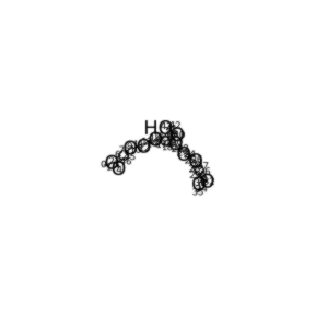 CCOC(=O)c1ccc(OCCOCCOc2ccc(OCCOCCOc3ccc(C(=O)OCC)cc3)c(C(=O)C(C)O)c2)cc1